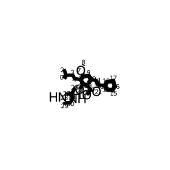 C=C(C)CCc1c(OC)cc(C=Cc2ccccc2)c(C(=O)O)c1OCC1CNCCN1